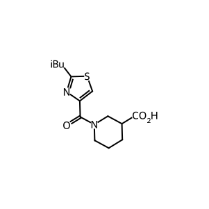 CCC(C)c1nc(C(=O)N2CCCC(C(=O)O)C2)cs1